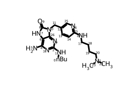 CCCCNc1nc(N)c2[nH]c(=O)n(Cc3ccc(NCCCCN(C)C)nc3)c2n1